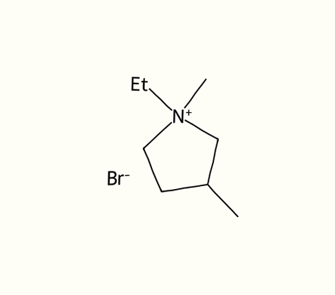 CC[N+]1(C)CCC(C)C1.[Br-]